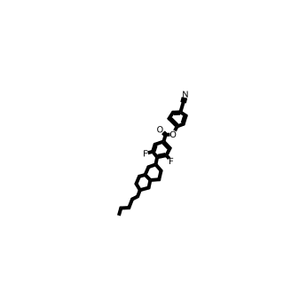 CCCCCC1CCC2CC(c3c(F)cc(C(=O)Oc4ccc(C#N)cc4)cc3F)CCC2C1